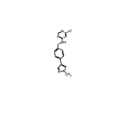 Cn1cc(-c2ccc(CNc3cc(Cl)ncn3)cc2)cn1